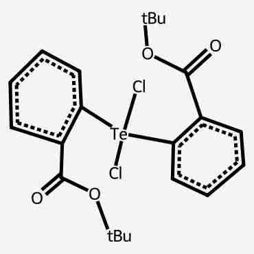 CC(C)(C)OC(=O)c1ccccc1[Te](Cl)(Cl)c1ccccc1C(=O)OC(C)(C)C